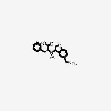 COC(=O)[C@H](Cc1ccccc1)N(C(C)=O)C1COc2ccc(CN)cc21